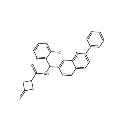 O=C1CC(C(=O)NC(c2ccc3ccc(-c4ccccc4)nc3c2)c2nccnc2Cl)C1